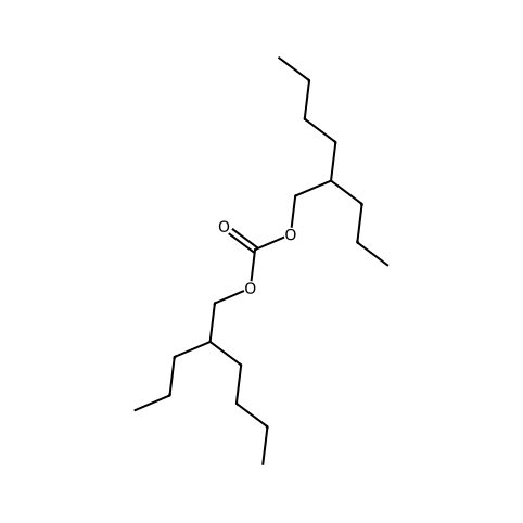 CCCCC(CCC)COC(=O)OCC(CCC)CCCC